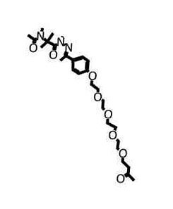 CC(=O)CCOCCOCCOCCOCCOc1ccc(/C(C)=N/N(C)C(=O)C(C)(C)N(C)C(C)=O)cc1